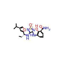 CC[C@@H](Nc1n[s+]([O-])nc1Nc1cccc(C(N)=O)c1O)c1cc(C(C)C)co1